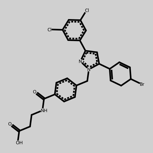 O=C(O)CCNC(=O)c1ccc(Cn2nc(-c3cc(Cl)cc(Cl)c3)cc2C2=CCC(Br)C=C2)cc1